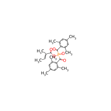 CC=C(C)C(=O)OP(=O)(C(=O)c1c(C)cc(C)cc1C)C(=O)c1c(C)cc(C)cc1C